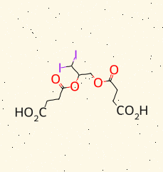 O=C(O)CCC(=O)OCC(OC(=O)CCC(=O)O)C(I)I